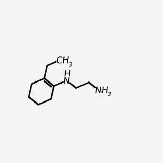 CCC1=C(NCCN)CCCC1